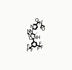 C[C@H](NC(=O)c1cc(C(F)(F)F)cc(C(F)(F)F)c1)c1ncnn1-c1ccc(C(=O)N(C)C2COC2)cn1